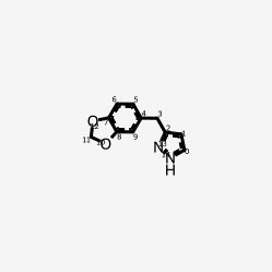 c1cc(Cc2ccc3c(c2)OCO3)n[nH]1